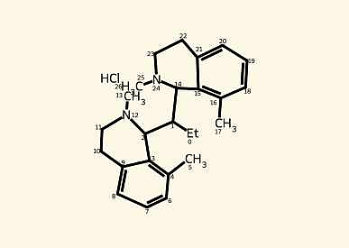 CCC(C1c2c(C)cccc2CCN1C)C1c2c(C)cccc2CCN1C.Cl